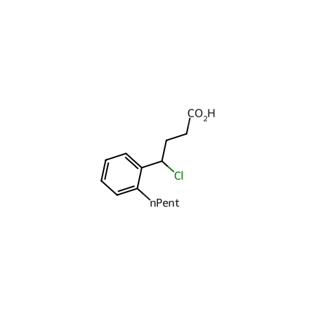 CCCCCc1ccccc1C(Cl)CCC(=O)O